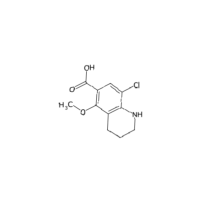 COc1c(C(=O)O)cc(Cl)c2c1CCCN2